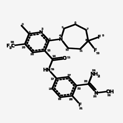 Cc1nc(N2CCCC(F)(F)CC2)c(C(=O)Nc2ccc(F)c(C(N)=NO)c2)cc1C(F)(F)F